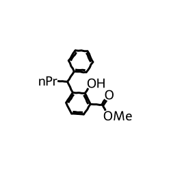 CCCC(c1ccccc1)c1cccc(C(=O)OC)c1O